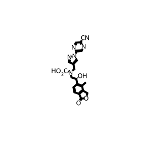 Cc1c([C@@H](O)CN(Cc2cnn(-c3cnc(C#N)cn3)c2)C(=O)O)ccc2c1COC2=O